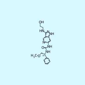 COC[C@@H](NC(=O)Nc1cc2[nH]nc(NCCO)c2cn1)c1ccccc1